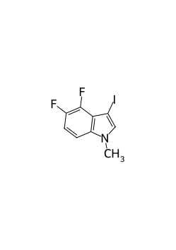 Cn1cc(I)c2c(F)c(F)ccc21